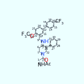 CC(=O)NCC(=O)N1CC[C@H](NCc2cc(-c3ccc(C(F)(F)F)cc3)ccc2OC(F)(F)F)[C@H](c2ccccc2)C1